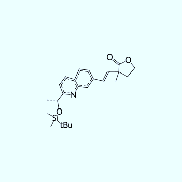 C[C@@H](O[Si](C)(C)C(C)(C)C)c1ccc2ccc(/C=C/C3(C)CCOC3=O)cc2n1